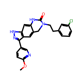 COc1ccc(-c2n[nH]c3cc4c(cc23)CN(CCc2cccc(Cl)c2)C(=O)N4)cn1